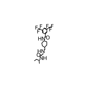 CCC(C)NC(=O)CNCC1CCC(NC(=O)c2cc(C(F)(F)F)cc(C(F)(F)F)c2)CC1